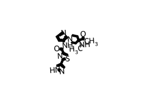 CNC1(C(C)=O)CCN(c2ncccc2NC(=O)c2csc(-c3cn[nH]c3)n2)CC1